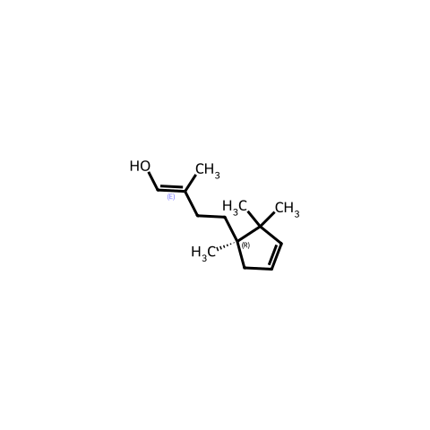 C/C(=C\O)CC[C@]1(C)CC=CC1(C)C